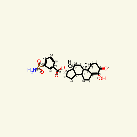 C[C@]12CCC(=O)C(O)=C1CCC1C2CC[C@@]2(C)C1CC[C@@H]2OC(=O)c1cccc(S(N)(=O)=O)c1